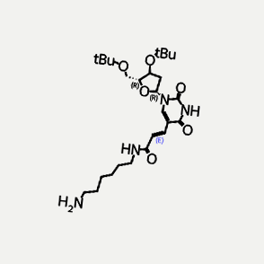 CC(C)(C)OC[C@H]1O[C@@H](n2cc(/C=C/C(=O)NCCCCCCN)c(=O)[nH]c2=O)CC1OC(C)(C)C